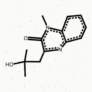 Cn1c(=O)c(CC(C)(C)O)nc2ccccc21